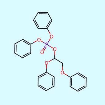 O=P(Oc1ccccc1)(Oc1ccccc1)OC(COc1ccccc1)Oc1ccccc1